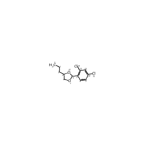 CCCC1COC(c2ccc(Cl)cc2Cl)O1